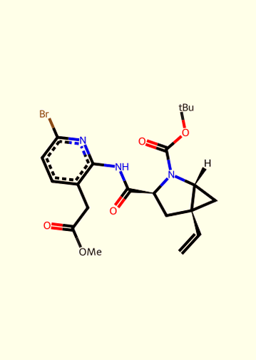 C=C[C@@]12C[C@@H](C(=O)Nc3nc(Br)ccc3CC(=O)OC)N(C(=O)OC(C)(C)C)[C@@H]1C2